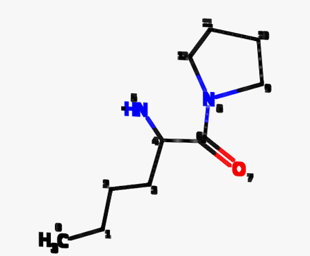 CCCCC([NH])C(=O)N1CCCC1